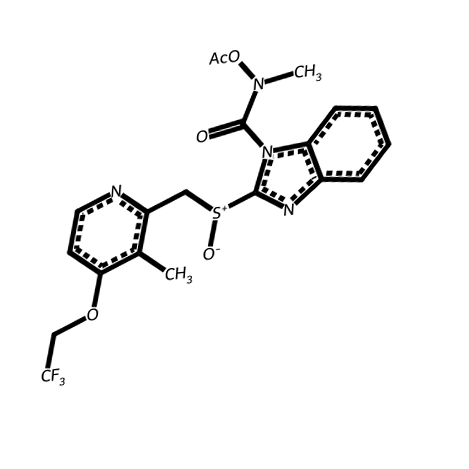 CC(=O)ON(C)C(=O)n1c([S+]([O-])Cc2nccc(OCC(F)(F)F)c2C)nc2ccccc21